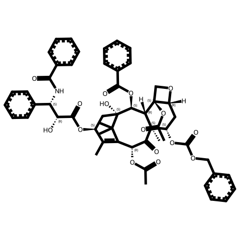 CC(=O)O[C@H]1C(=O)[C@]2(C)[C@@H](OC(=O)OCc3ccccc3)C[C@H]3OC[C@@]3(OC(C)=O)[C@H]2[C@H](OC(=O)c2ccccc2)[C@]2(O)C[C@H](OC(=O)[C@H](O)[C@@H](NC(=O)c3ccccc3)c3ccccc3)C(C)=C1C2(C)C